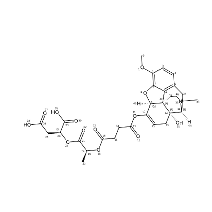 COc1ccc2c3c1O[C@@H]1C(OC(=O)CCC(=O)O[C@@H](C)C(=O)O[C@@H](CC(=O)O)C(=O)O)=CC[C@]4(O)[C@H](C2)N(C)CC[C@@]314